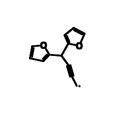 [CH2]C#CC(c1ccco1)c1ccco1